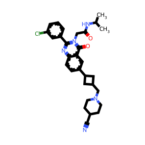 CC(C)NC(=O)Cn1c(-c2cccc(Cl)c2)nc2ccc(C3CC(CN4CCC(C#N)CC4)C3)cc2c1=O